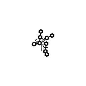 CC(C)(c1ccc2ccccc2c1)c1cccc2c1Nc1cc3c(sc4ccccc43)c3c1B2N(c1ccc(-c2ccccc2)cc1)c1cc(-c2ccccc2)ccc1-3